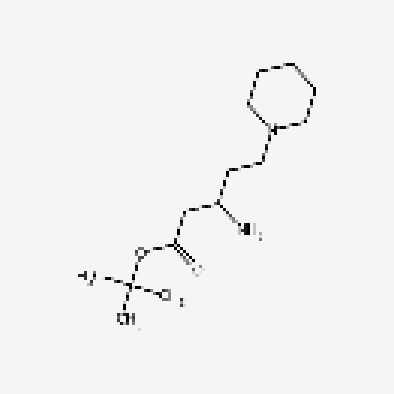 CC(C)(C)OC(=O)CC(N)CCN1CCCCC1